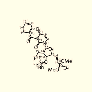 COP(=O)(/C=C/[C@H]1O[C@@H](n2ccc(=O)n(C(=O)c3ccccc3)c2=O)[C@H](CF)[C@@H]1O[Si](C)(C)C(C)(C)C)OC